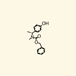 C[C@@H](c1ccc(O)cc1)N(C)C(=O)OCc1ccccc1